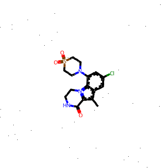 Cc1c2n(c3c(N4CCS(=O)(=O)CC4)cc(Cl)cc13)CCNC2=O